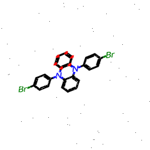 Brc1ccc(N(c2ccccc2)c2ccccc2N(c2ccccc2)c2ccc(Br)cc2)cc1